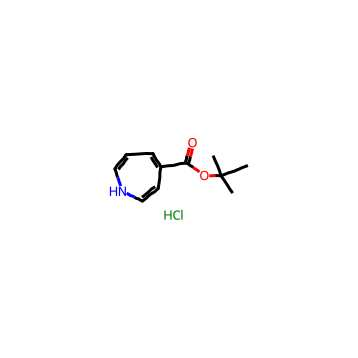 CC(C)(C)OC(=O)C1=CC=CNC=C1.Cl